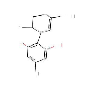 CCCc1cc(O)c(C2C=C(C(=O)O)CCC2C(C)C)c(O)c1